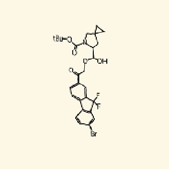 CC(C)(C)OC(=O)N1CC2(CC2)C[C@H]1C(O)OCC(=O)c1ccc2c(c1)C(F)(F)c1cc(Br)ccc1-2